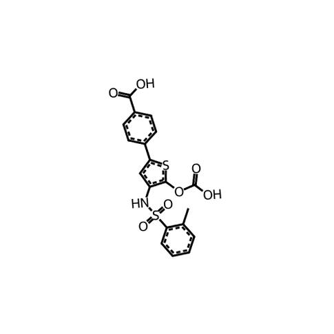 Cc1ccccc1S(=O)(=O)Nc1cc(-c2ccc(C(=O)O)cc2)sc1OC(=O)O